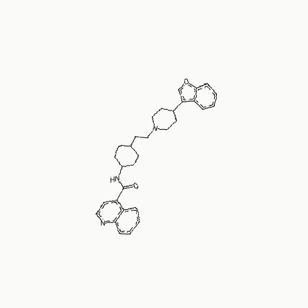 O=C(NC1CCC(CCN2CCC(c3coc4ccccc34)CC2)CC1)c1ccnc2ccccc12